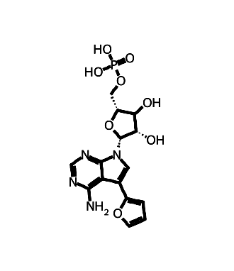 Nc1ncnc2c1c(-c1ccco1)cn2[C@@H]1O[C@H](COP(=O)(O)O)C(O)[C@@H]1O